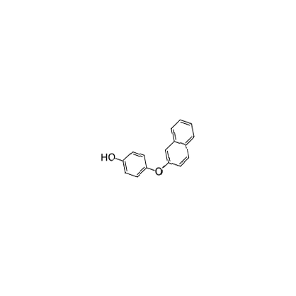 Oc1ccc(Oc2ccc3ccccc3c2)cc1